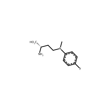 CN(CC[C@H](N)C(=O)O)c1ccc(F)cc1